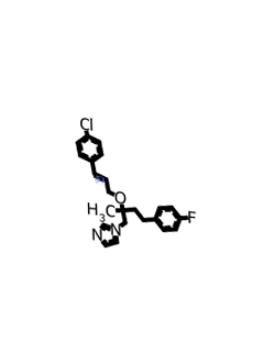 CC(CCc1ccc(F)cc1)(Cn1ccnc1)OC/C=C/c1ccc(Cl)cc1